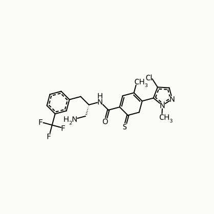 CC1=C(c2c(Cl)cnn2C)CC(=S)C(C(=O)N[C@H](CN)Cc2cccc(C(F)(F)F)c2)=C1